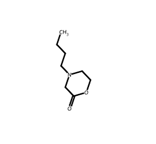 CCCCN1CCOC(=O)C1